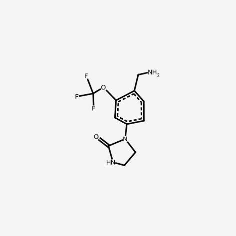 NCc1ccc(N2CCNC2=O)cc1OC(F)(F)F